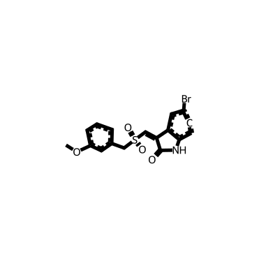 COc1cccc(CS(=O)(=O)C=C2C(=O)Nc3ccc(Br)cc32)c1